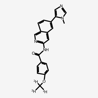 [2H]C([2H])([2H])Oc1ccc(C(=O)Nc2cc3cc(-c4cncn4C)ccc3cn2)cc1